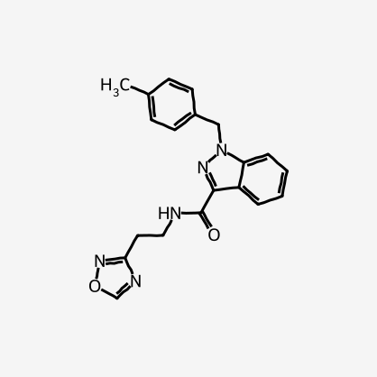 Cc1ccc(Cn2nc(C(=O)NCCc3ncon3)c3ccccc32)cc1